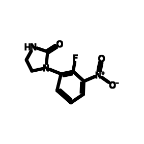 O=C1NCCN1c1cccc([N+](=O)[O-])c1F